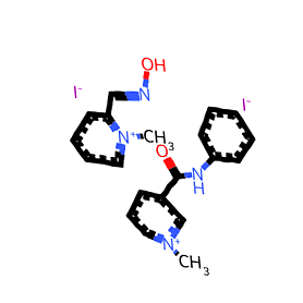 C[n+]1cccc(C(=O)Nc2ccccc2)c1.C[n+]1ccccc1C=NO.[I-].[I-]